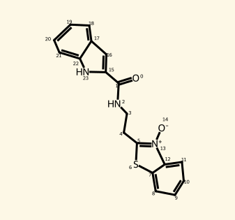 O=C(NCCc1sc2ccccc2[n+]1[O-])c1cc2ccccc2[nH]1